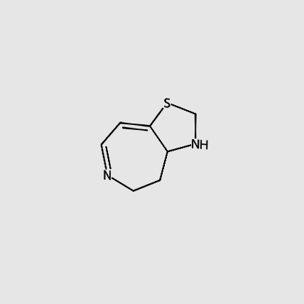 C1=NCCC2NCSC2=C1